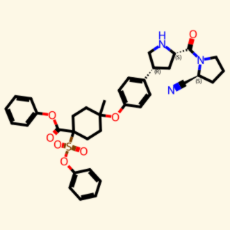 CC1(Oc2ccc([C@@H]3CN[C@H](C(=O)N4CCC[C@H]4C#N)C3)cc2)CCC(C(=O)Oc2ccccc2)(S(=O)(=O)Oc2ccccc2)CC1